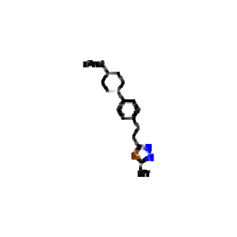 CCCCCC1CCC(c2ccc(CCc3nnc(CCC)s3)cc2)CC1